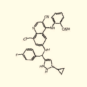 COc1ccccc1Nc1c(C#N)cnc2c(Cl)cc(NC(C3=CN(C4CC4)NN3)c3ccc(F)cc3)cc12